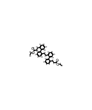 CCOC(=O)CCc1ccccc1-c1ccccc1CCc1ccccc1-c1ccccc1CCC(=O)OCC